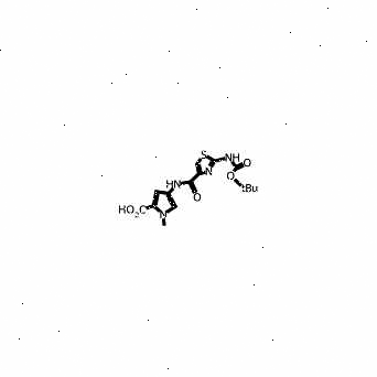 Cn1cc(NC(=O)c2csc(NC(=O)OC(C)(C)C)n2)cc1C(=O)O